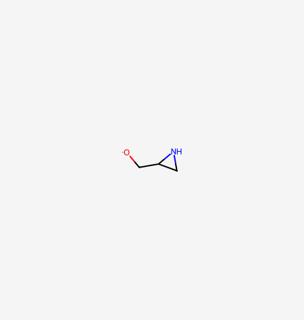 [O]CC1CN1